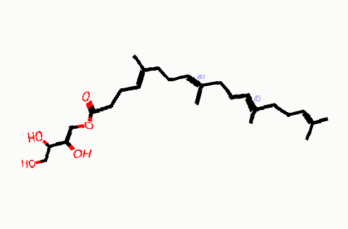 CC(C)=CCC/C(C)=C/CC/C(C)=C/CCC(C)=CCCC(=O)OCC(O)C(O)CO